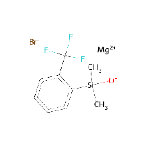 C[Si](C)([O-])c1ccccc1C(F)(F)F.[Br-].[Mg+2]